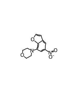 O=[N+]([O-])c1cc(N2CCOCC2)c2occc2c1